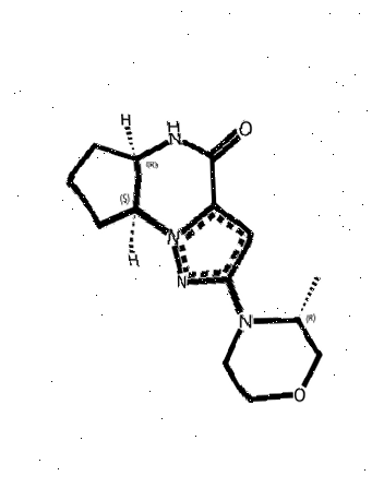 C[C@@H]1COCCN1c1cc2n(n1)[C@H]1CCC[C@H]1NC2=O